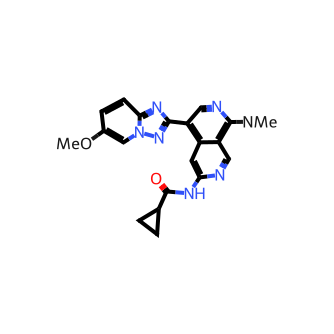 CNc1ncc(-c2nc3ccc(OC)cn3n2)c2cc(NC(=O)C3CC3)ncc12